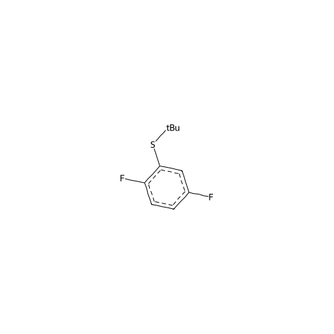 CC(C)(C)Sc1cc(F)ccc1F